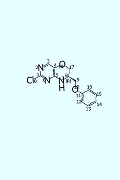 Clc1ncc2c(n1)N[C@H](COc1ccccc1)CO2